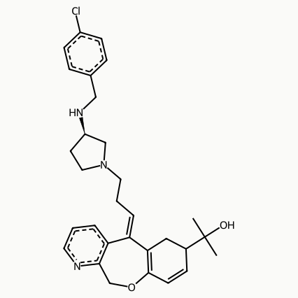 CC(C)(O)C1C=CC2=C(C1)/C(=C/CCN1CC[C@@H](NCc3ccc(Cl)cc3)C1)c1cccnc1CO2